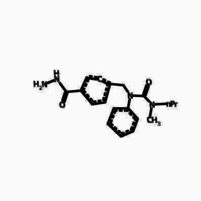 CCCN(C)C(=O)N(Cc1ccc(C(=O)NN)cc1)c1ccccc1